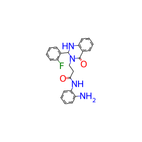 Nc1ccccc1NC(=O)CCN1C(=O)c2ccccc2NC1c1ccccc1F